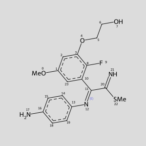 COc1cc(OCCO)c(F)c(/C(=N\c2ccc(N)cc2)C(=N)SC)c1